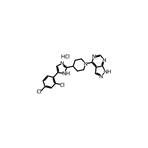 Cl.Clc1ccc(-c2cnc(C3CCN(c4ncnc5[nH]ncc45)CC3)[nH]2)c(Cl)c1